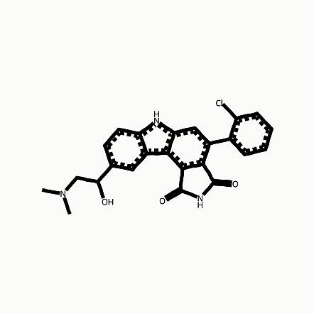 CN(C)CC(O)c1ccc2[nH]c3cc(-c4ccccc4Cl)c4c(c3c2c1)C(=O)NC4=O